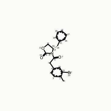 Cc1ccc(CC(=O)N2C(=O)OC[C@@H]2Cc2ccccc2)cc1Br